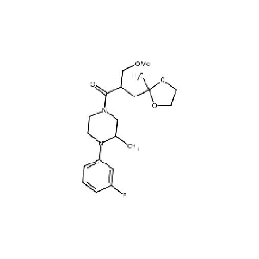 COCC(CC1(C)OCCO1)C(=O)N1CCN(c2cccc(F)c2)C(C)C1